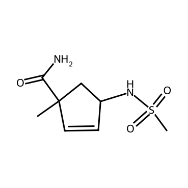 CC1(C(N)=O)C=CC(NS(C)(=O)=O)C1